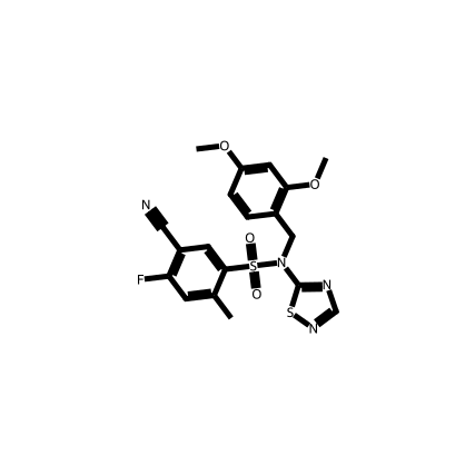 COc1ccc(CN(c2ncns2)S(=O)(=O)c2cc(C#N)c(F)cc2C)c(OC)c1